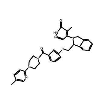 Cc1ccc(N2CCN(C(=O)c3cccc(OCC4c5ccccc5CN4c4cn[nH]c(=O)c4C)c3)CC2)nc1